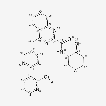 COc1ncccc1-c1ccc(Cc2cc(C(=O)N[C@H]3CCCC[C@@H]3O)nc3ccccc23)cn1